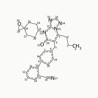 CCCc1c(Cc2ccc(-c3ccccc3C#N)cc2)c(=O)n(C2CCC3(CC2)CO3)c2ncnn12